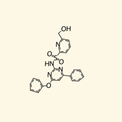 O=S(=O)(Nc1nc(Oc2ccccc2)cc(-c2ccccc2)n1)c1cccc(CO)n1